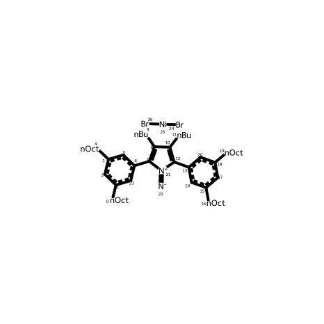 CCCCCCCCc1cc(CCCCCCCC)cc(C2=C(CCCC)C(CCCC)=C(c3cc(CCCCCCCC)cc(CCCCCCCC)c3)[N+]2=[N-])c1.[Br][Ni][Br]